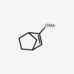 COC1=CC2CCC1C2